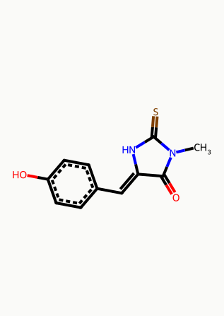 CN1C(=O)/C(=C/c2ccc(O)cc2)NC1=S